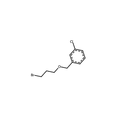 Clc1cccc(COCCCBr)c1